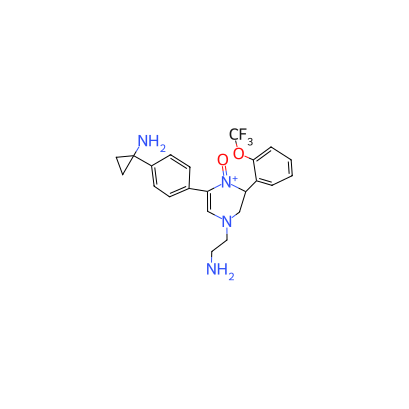 NCCN1C=C(c2ccc(C3(N)CC3)cc2)[N+](=O)C(c2ccccc2OC(F)(F)F)C1